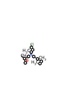 CCc1cc(-c2ccc(N(c3ccc(-c4ccc(-c5cccc6cccc(C)c56)c(C)c4)cc3)c3cc(C)c4c(ccc5cc(Cl)ccc54)c3)cc2)c2oc3ccccc3c2c1